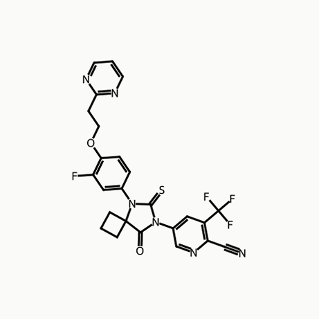 N#Cc1ncc(N2C(=O)C3(CCC3)N(c3ccc(OCCc4ncccn4)c(F)c3)C2=S)cc1C(F)(F)F